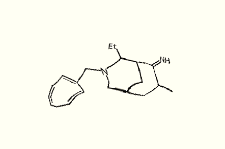 CCC1C2CC(CC(C)C2=N)CN1Cc1ccccc1